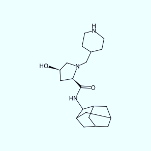 O=C(NC1C2CC3CC(C2)CC1C3)[C@H]1C[C@@H](O)CN1CC1CCNCC1